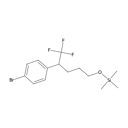 C[Si](C)(C)OCCCC(c1ccc(Br)cc1)C(F)(F)F